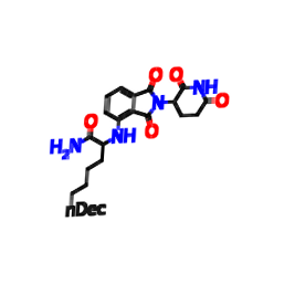 CCCCCCCCCCCCCCC(Nc1cccc2c1C(=O)N(C1CCC(=O)NC1=O)C2=O)C(N)=O